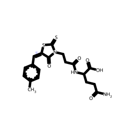 Cc1ccc(/C=C2/SC(=S)N(CCC(=O)NC(CCC(N)=O)C(=O)O)C2=O)cc1